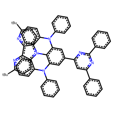 CC(C)(C)c1ccc2c(n1)c1nc(C(C)(C)C)ccc1n2-c1c(N(c2ccccc2)c2ccccc2)cc(-c2cc(-c3ccccc3)nc(-c3ccccc3)n2)cc1N(c1ccccc1)c1ccccc1